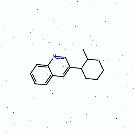 CC1CCCCC1c1cnc2ccccc2c1